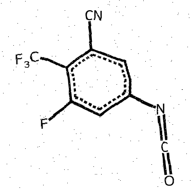 N#Cc1cc(N=C=O)cc(F)c1C(F)(F)F